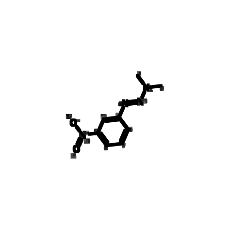 CN(C)/N=N/c1cccc([N+](=O)[O-])c1